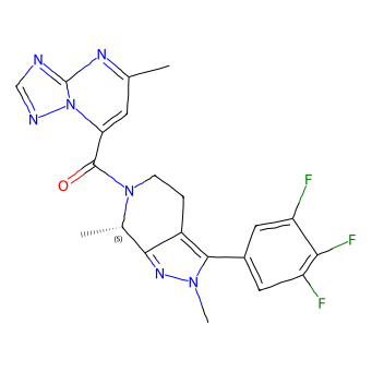 Cc1cc(C(=O)N2CCc3c(nn(C)c3-c3cc(F)c(F)c(F)c3)[C@@H]2C)n2ncnc2n1